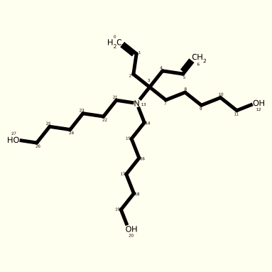 C=CCC(CC=C)(CCCCCO)N(CCCCCCO)CCCCCCO